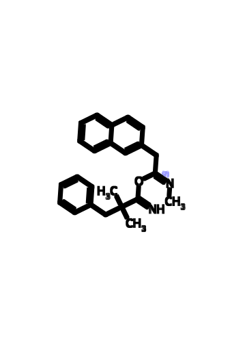 C/N=C(/Cc1ccc2ccccc2c1)OC(=N)C(C)(C)Cc1ccccc1